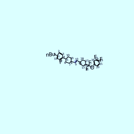 CCCCc1ccc(C2CCC(/C=C/C3CCC(C(F)(F)Oc4ccc(F)c(F)c4)CC3)CC2)c(F)c1